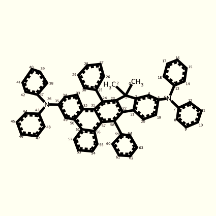 CC1(C)c2cc(N(c3ccccc3)c3ccccc3)ccc2-c2c1c(-c1ccccc1)c1c3ccc(N(c4ccccc4)c4ccccc4)cc3c3ccccc3c1c2-c1ccccc1